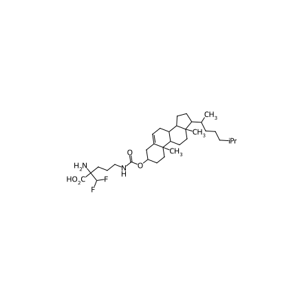 CC(C)CCCC(C)C1CCC2C3CC=C4CC(OC(=O)NCCCC(N)(C(=O)O)C(F)F)CCC4(C)C3CCC12C